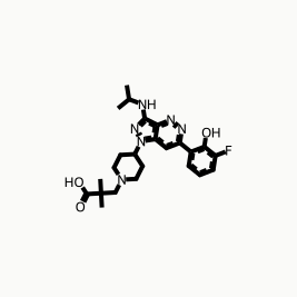 CC(C)Nc1nn(C2CCN(CC(C)(C)C(=O)O)CC2)c2cc(-c3cccc(F)c3O)nnc12